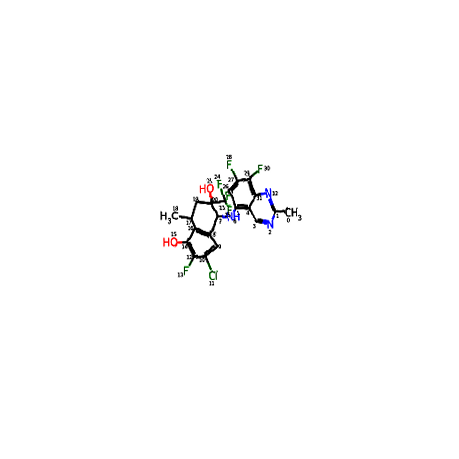 Cc1ncc2c(NC3c4cc(Cl)c(F)c(O)c4C(C)CC3(O)C(F)(F)F)cc(F)c(F)c2n1